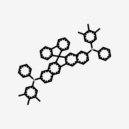 Cc1cc(N(c2ccccc2)c2ccc3cc4c(cc3c2)C2(c3ccccc3-c3ccccc32)c2cc3cc(N(c5ccccc5)c5cc(C)c(C)c(C)c5)ccc3cc2-4)cc(C)c1C